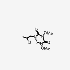 CON1SN(CC(C)Cl)C(=O)N(OC)C1=O